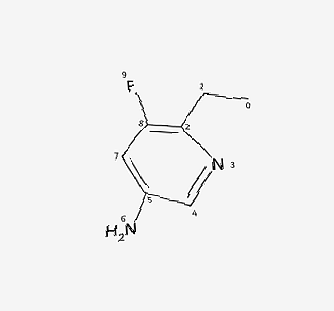 CCc1ncc(N)cc1F